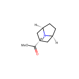 COC(=O)[C@@H]1C[C@H]2CC[C@@H](C1)N2C(C)C